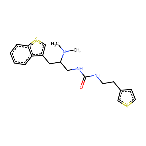 CN(C)C(CNC(=O)NCCc1ccsc1)Cc1csc2ccccc12